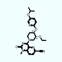 CCO[C@@H]1CN(c2nc(=O)n(C)c3ccc(C#N)nc23)CC[C@H]1Oc1ccc(OC(C)C)cn1